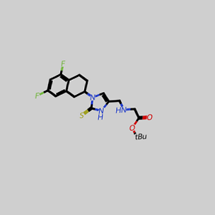 CC(C)(C)OC(=O)CNCc1cn(C2CCc3c(F)cc(F)cc3C2)c(=S)[nH]1